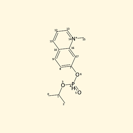 CC(C)O[PH](=O)Oc1ccc2ccc[n+](C)c2c1